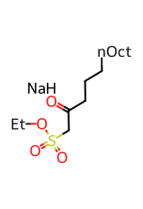 CCCCCCCCCCCC(=O)CS(=O)(=O)OCC.[NaH]